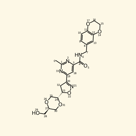 Cc1nc(C(=O)NCc2ccc3c(c2)OCCO3)cc(C2=NOC([C@H]3CO[C@H](CO)CO3)C2)n1